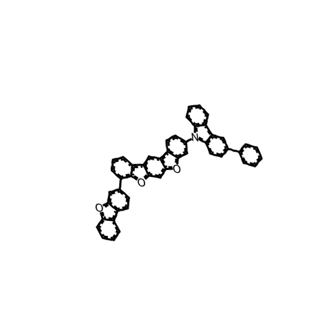 c1ccc(-c2ccc3c(c2)c2ccccc2n3-c2ccc3c(c2)oc2cc4oc5c(-c6ccc7c(c6)oc6ccccc67)cccc5c4cc23)cc1